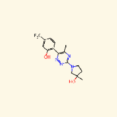 Cc1nc(N2CCC(C)(O)C2)nnc1-c1ccc(C(F)(F)F)cc1O